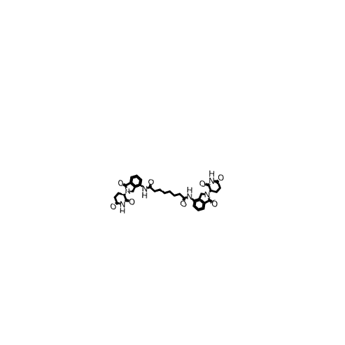 O=C1CCC(N2Cc3c(NC(=O)CCCCCCC(=O)Nc4cccc5c4CN(C4CCC(=O)NC4=O)C5=O)cccc3C2=O)C(=O)N1